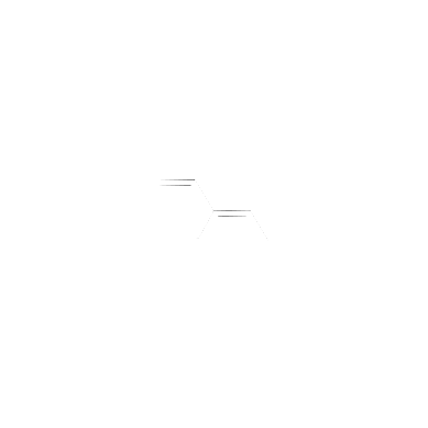 C=C[C]([Ti])=CC